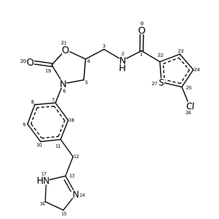 O=C(NCC1CN(c2cccc(CC3=NCCN3)c2)C(=O)O1)c1ccc(Cl)s1